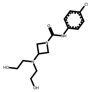 O=C(Nc1ccc(Cl)cc1)N1CC(N(CCO)CCO)C1